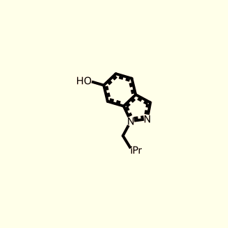 CC(C)Cn1ncc2ccc(O)cc21